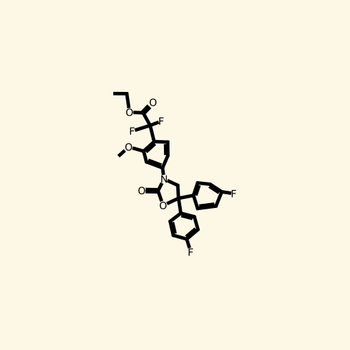 CCOC(=O)C(F)(F)c1ccc(N2CC(c3ccc(F)cc3)(c3ccc(F)cc3)OC2=O)cc1OC